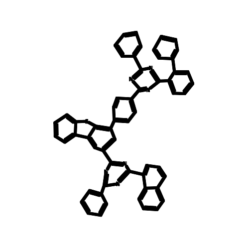 c1ccc(-c2nc(-c3ccc(-c4cc(-c5nc(-c6ccccc6)nc(-c6cccc7ccccc67)n5)cc5c4sc4ccccc45)cc3)nc(-c3ccccc3-c3ccccc3)n2)cc1